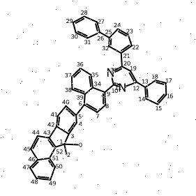 CC1(C)c2cc(-c3ccc(-c4nc(-c5ccccc5)cc(-c5cccc(-c6ccccc6)c5)n4)c4ccccc34)ccc2-c2ccc3ccccc3c21